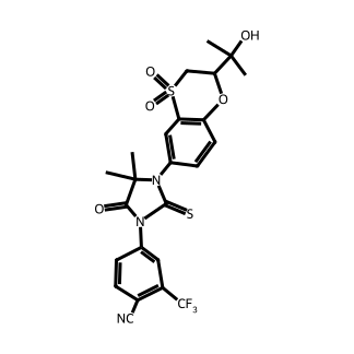 CC(C)(O)C1CS(=O)(=O)c2cc(N3C(=S)N(c4ccc(C#N)c(C(F)(F)F)c4)C(=O)C3(C)C)ccc2O1